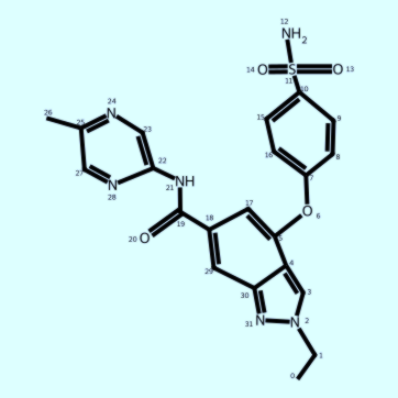 CCn1cc2c(Oc3ccc(S(N)(=O)=O)cc3)cc(C(=O)Nc3cnc(C)cn3)cc2n1